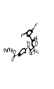 C=C[C@]1(C(=O)N[C@H]2CC[C@@H](C(=O)OC)C2)CC(c2cc(F)cc(F)c2)=NO1